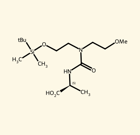 COCCN(CCO[Si](C)(C)C(C)(C)C)C(=O)N[C@@H](C)C(=O)O